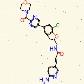 Nc1ccc(C=CC(=O)NCC2Cc3cc(-c4cnc(C(=O)N5CCOCC5)nc4)cc(Cl)c3O2)cn1